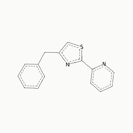 c1ccc(Cc2csc(-c3ccccn3)n2)cc1